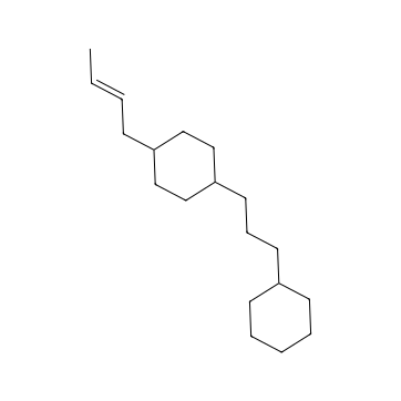 C/C=C/CC1CCC(CCCC2CCCCC2)CC1